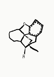 CN1CC[C@]23c4c5cccc4OC2CCCC3[C@H]1C5